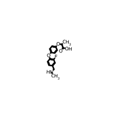 CNCc1ccc(Oc2ccc(O[C@@H](C)C(=O)O)cc2)c(F)c1